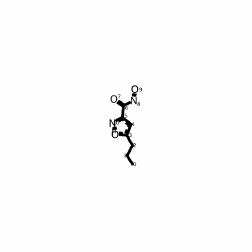 CCCc1cc(C(=O)N=O)no1